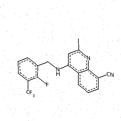 Cc1cc(NCc2cccc(C(F)(F)F)c2F)c2cccc(C#N)c2n1